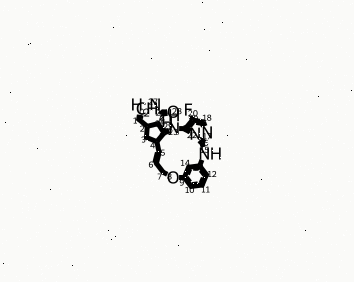 C=CC1CC2/C=C/COc3cccc(c3)Nc3ncc(F)c(n3)N[C@H]2[C@H]1C(N)=O